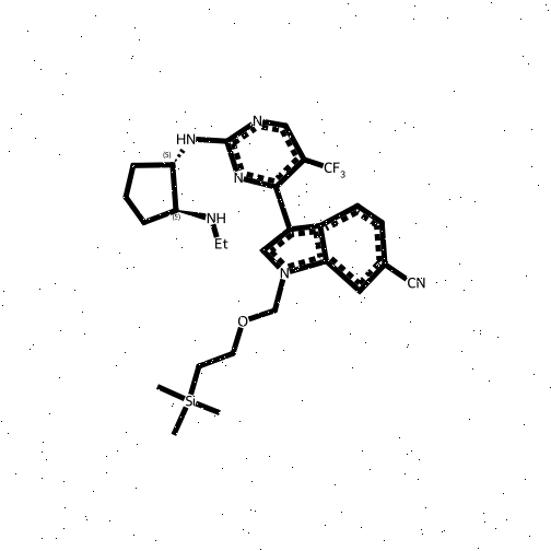 CCN[C@H]1CCC[C@@H]1Nc1ncc(C(F)(F)F)c(-c2cn(COCC[Si](C)(C)C)c3cc(C#N)ccc23)n1